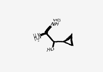 Cl.N=C(N)C(O)C1CC1